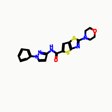 O=C(Nc1ccn(-c2ccccc2)n1)c1cc2sc(N3CCOCC3)nc2s1